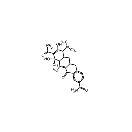 CN(C)C1C(O)=C(C(N)=O)C(O)(O)C2C(O)=C3C(=O)c4cc(C(N)=O)ccc4CC3CC12